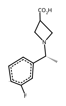 C[C@H](c1cc[c]c(F)c1)N1CC(C(=O)O)C1